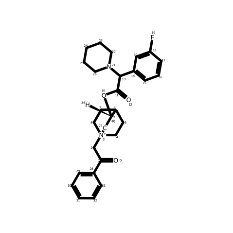 O=C(C[N+]12CCC(CC1)[C@@H](OC(=O)C(c1cccc(F)c1)N1CCCCC1)C2)c1ccccc1